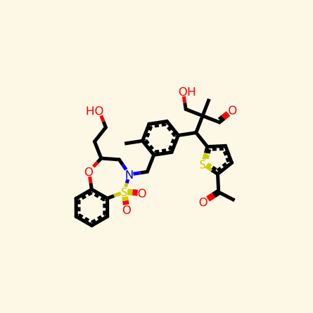 CC(=O)c1ccc(C(c2ccc(C)c(CN3CC(CCO)Oc4ccccc4S3(=O)=O)c2)C(C)(C=O)CO)s1